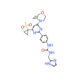 C[C@H]1COCCN1c1cc(C2(S(C)(=O)=O)CC2)nc(-c2ccc(NC(=O)NCc3ncc[nH]3)cc2)n1